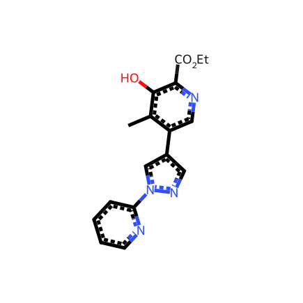 CCOC(=O)c1ncc(-c2cnn(-c3ccccn3)c2)c(C)c1O